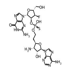 Nc1nc2c(ncn2[C@@H]2O[C@H](CO)[C@@H](F)[C@H]2OP(O)(=S)OCC[C@H]2O[C@@H](n3cnc4c(N)ncnc43)[C@H](O)[C@@H]2N)c(=O)[nH]1